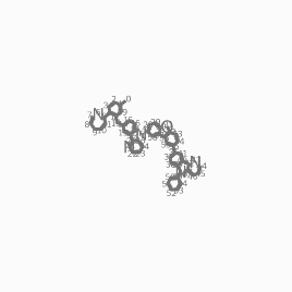 Cc1ccc(C2=NC=CCC=C2)c(Cc2ccc3c(c2)c2ncccc2n3-c2ccc3oc4ccc(-c5ccc6c(c5)c5ncccc5n6-c5ccccc5)cc4c3c2)c1